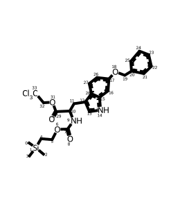 C[Si](C)(C)CCOC(=O)NC(Cc1c[nH]c2cc(OCc3ccccc3)ccc12)C(=O)OCC(Cl)(Cl)Cl